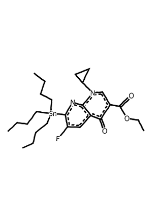 CCC[CH2][Sn]([CH2]CCC)([CH2]CCC)[c]1nc2c(cc1F)c(=O)c(C(=O)OCC)cn2C1CC1